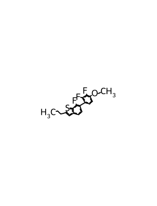 CCCc1cc2ccc(-c3ccc(OCC)c(F)c3F)c(F)c2s1